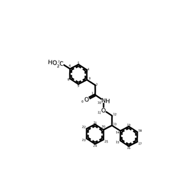 O=C(Cc1ccc(C(=O)O)cc1)NOCC(c1ccccc1)c1ccccc1